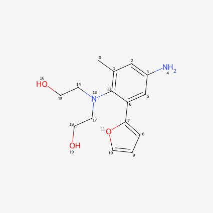 Cc1cc(N)cc(-c2ccco2)c1N(CCO)CCO